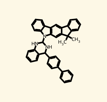 CC1(C)c2ccccc2-c2cc3c4ccccc4n(C4Nc5ccccc5C(c5ccc(-c6ccccc6)cc5)N4)c3cc21